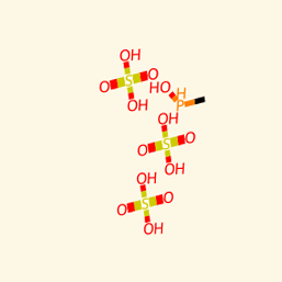 CPO.O=S(=O)(O)O.O=S(=O)(O)O.O=S(=O)(O)O